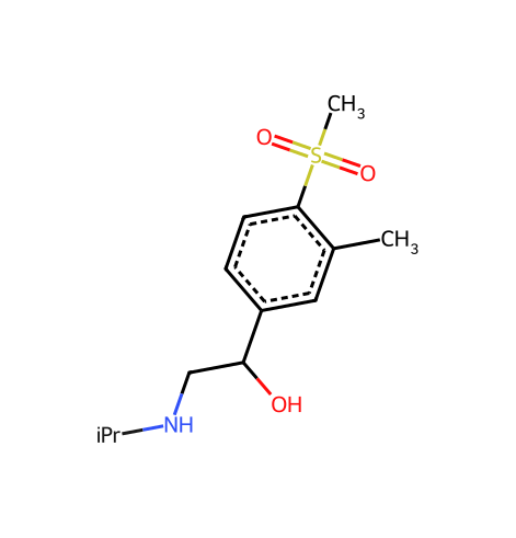 Cc1cc(C(O)CNC(C)C)ccc1S(C)(=O)=O